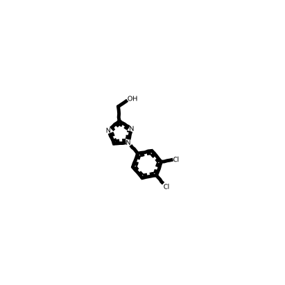 OCc1ncn(-c2ccc(Cl)c(Cl)c2)n1